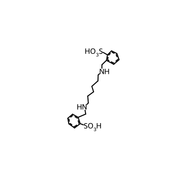 O=S(=O)(O)c1ccccc1CNCCCCCCNCc1ccccc1S(=O)(=O)O